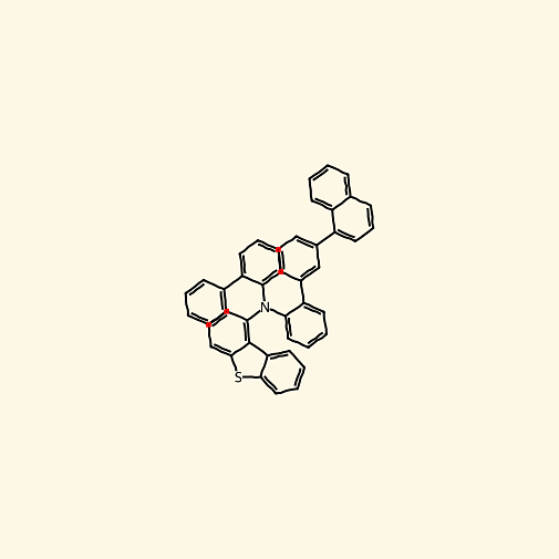 c1ccc(-c2ccccc2N(c2ccccc2-c2cccc(-c3cccc4ccccc34)c2)c2cccc3sc4ccccc4c23)cc1